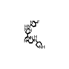 Fc1ccc(Nc2ncc(-c3cnc4ccc(NC5CCNCC5)nn34)cn2)nc1